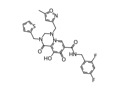 Cc1cc(CN2CN(Cc3cccs3)C(=O)c3c(O)c(=O)c(C(=O)NCc4ccc(F)cc4F)cn32)no1